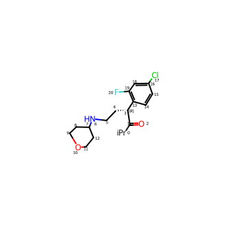 CC(C)C(=O)[C@H](CCNC1CCOCC1)c1ccc(Cl)cc1F